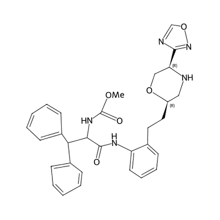 COC(=O)NC(C(=O)Nc1ccccc1CC[C@@H]1CN[C@H](c2ncon2)CO1)C(c1ccccc1)c1ccccc1